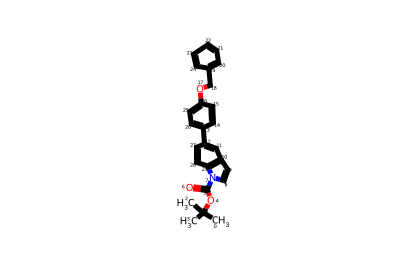 CC(C)(C)OC(=O)n1ccc2cc(-c3ccc(OCc4ccccc4)cc3)ccc21